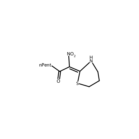 CCCCCC(=O)/C(=C1/NCCCS1)[N+](=O)[O-]